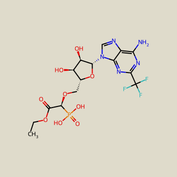 CCOC(=O)[C@@H](OC[C@H]1O[C@@H](n2cnc3c(N)nc(C(F)(F)F)nc32)[C@H](O)[C@@H]1O)P(=O)(O)O